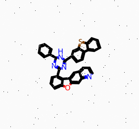 c1ccc(C2N=C(c3cccc4oc5cc6ncccc6cc5c34)N=C(c3ccc4c(c3)sc3ccccc34)N2)cc1